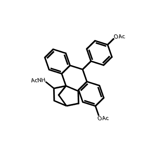 CC(=O)NC1CC2CCC1(c1ccccc1C(c1ccc(OC(C)=O)cc1)c1ccc(OC(C)=O)cc1)C2